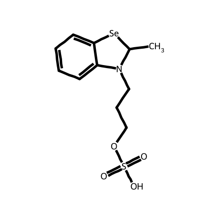 CC1[Se]c2ccccc2N1CCCOS(=O)(=O)O